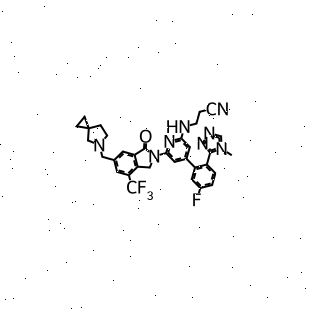 Cn1cnnc1-c1ccc(F)cc1-c1cc(NCCC#N)nc(N2Cc3c(cc(CN4CCC5(CC5)C4)cc3C(F)(F)F)C2=O)c1